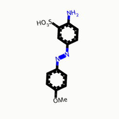 COc1ccc(N=Nc2ccc(N)c(S(=O)(=O)O)c2)cc1